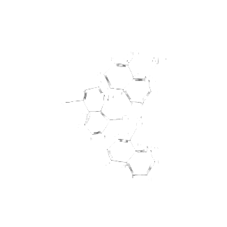 Cc1ccnc2c([O-])cccc12.[Al+3].[O-]c1cccc2cccnc12.[O-]c1cccc2cccnc12